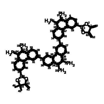 C=C1OB(c2ccc3c(P)c(P)c4ccc(-c5ccc6c(P)c(P)c7ccc(-c8ccc9c(P)c(P)c%10ccc(B%11OC(=C)C(C)(C)O%11)cc%10c9c8)cc7c6c5)cc4c3c2)OC1=C